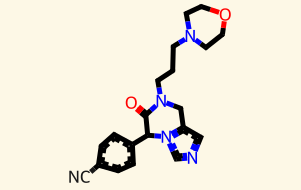 N#Cc1ccc(C2C(=O)N(CCCN3CCOCC3)Cc3cncn32)cc1